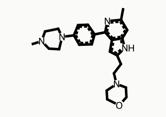 Cc1cc2[nH]c(CCN3CCOCC3)cc2c(-c2ccc(N3CCN(C)CC3)cc2)n1